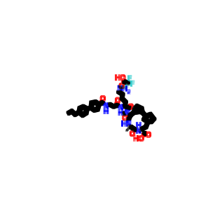 CCCc1ccc(-c2ccc(C(=O)NCCC(=O)NC(CCCCN)C(=O)N(C)[C@@H]3C(=O)N[C@@H](C)C(=O)N[C@H](C(=O)O)Cc4cccc(c4)-c4cccc3c4)cc2)cc1.O=C(O)C(F)(F)F